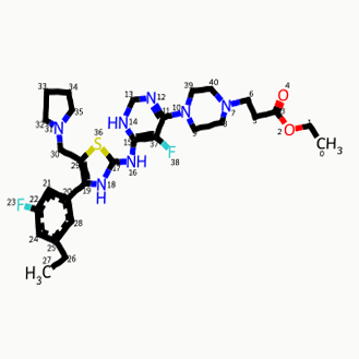 CCOC(=O)CCN1CCN(C2=NCNC(NC3NC(c4cc(F)cc(CC)c4)=C(CN4CCCC4)S3)=C2F)CC1